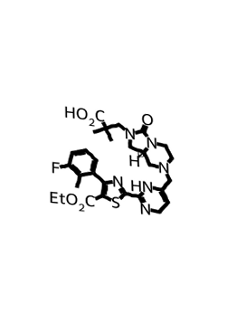 CCOC(=O)c1sc(C2=NCC=C(CN3CCN4C(=O)N(CC(C)(C)C(=O)O)C[C@@H]4C3)N2)nc1-c1cccc(F)c1C